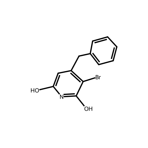 Oc1cc(Cc2ccccc2)c(Br)c(O)n1